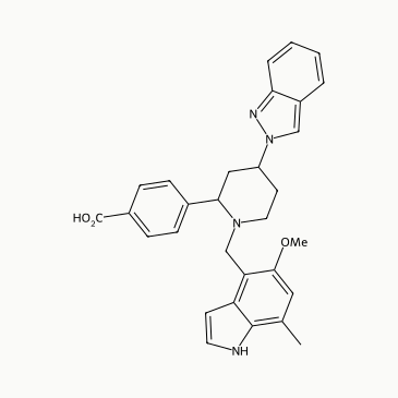 COc1cc(C)c2[nH]ccc2c1CN1CCC(n2cc3ccccc3n2)CC1c1ccc(C(=O)O)cc1